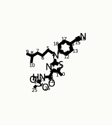 Cc1sc(N(CCCC(C)C)c2ccc(C#N)cc2)nc1C(=O)NS(C)(=O)=O